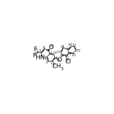 Cc1cc2[nH]c(C(F)F)cc(=O)c2cc1Oc1ccc2ccccc2c1Cl